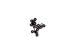 c1ccc(-c2cc(-c3ccccc3)nc(-c3ccc(-n4c5ccccc5c5c6oc7ccccc7c6ccc54)c(-c4ccc(-c5ccc6c7c5N(c5ccccc5)c5ccccc5B7c5ccccc5N6c5ccccc5)cc4)c3)n2)cc1